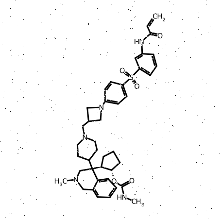 C=CC(=O)Nc1cccc(S(=O)(=O)c2ccc(N3CC(CN4CCC(C5([C@H]6CCC[C@@H]6OC(=O)NC)CN(C)Cc6ccccc65)CC4)C3)cc2)c1